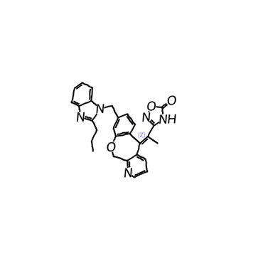 CCCc1nc2ccccc2n1Cc1ccc2c(c1)OCc1ncccc1/C2=C(\C)c1noc(=O)[nH]1